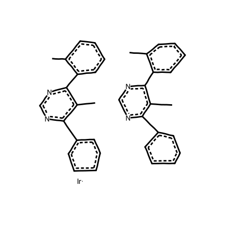 Cc1ccccc1-c1ncnc(-c2ccccc2)c1C.Cc1ccccc1-c1ncnc(-c2ccccc2)c1C.[Ir]